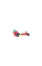 O=C(OCCOCCSc1ccc2c3c(cccc13)C(=O)N(OS(=O)(=O)C(F)(F)F)C2=O)c1ccccc1